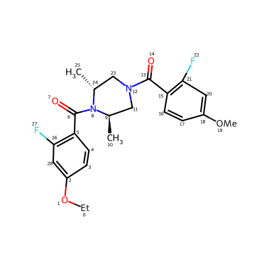 CCOc1ccc(C(=O)N2[C@H](C)CN(C(=O)c3ccc(OC)cc3F)C[C@H]2C)c(F)c1